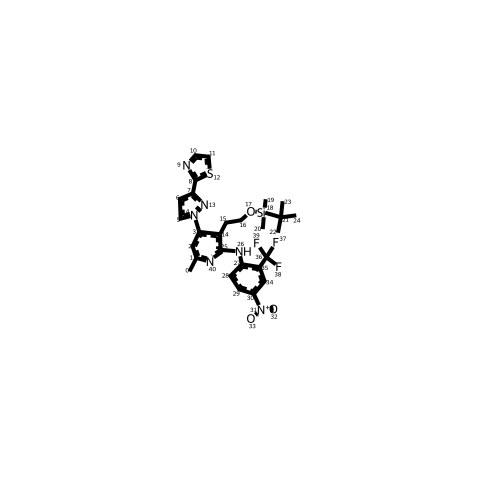 Cc1cc(-n2ccc(-c3nccs3)n2)c(CCO[Si](C)(C)C(C)(C)C)c(Nc2ccc([N+](=O)[O-])cc2C(F)(F)F)n1